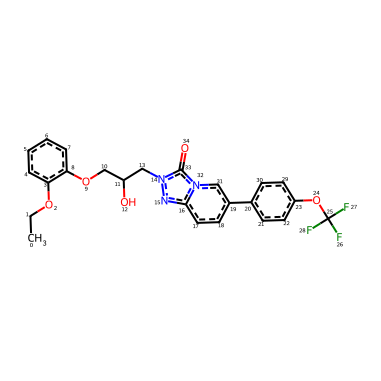 CCOc1ccccc1OCC(O)Cn1nc2ccc(-c3ccc(OC(F)(F)F)cc3)cn2c1=O